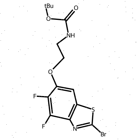 CC(C)(C)OC(=O)NCCOc1cc2sc(Br)nc2c(F)c1F